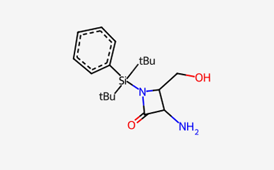 CC(C)(C)[Si](c1ccccc1)(N1C(=O)C(N)C1CO)C(C)(C)C